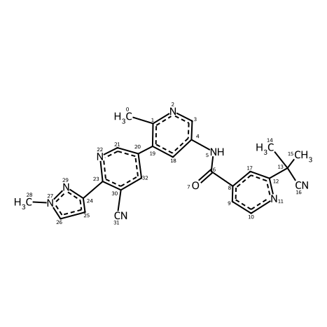 Cc1ncc(NC(=O)c2ccnc(C(C)(C)C#N)c2)cc1-c1cnc(-c2ccn(C)n2)c(C#N)c1